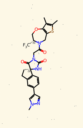 Cc1sc2c(c1C)OC[C@@H](C(F)(F)F)N(C(=O)CN1C(=O)N[C@]3(CCc4cc(-c5cnn(C)c5)ccc43)C1=O)C2